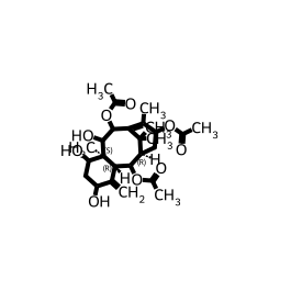 C=C1C(O)CC(O)[C@@]2(C)C(O)C(OC(C)=O)C3=C(C)C(OC(C)=O)C[C@@H](C(OC(C)=O)[C@H]12)C3(C)C